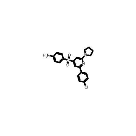 Nc1ccc(S(=O)(=O)c2cc(-c3ccc(Cl)cc3)nc(N3CCCC3)c2)cc1